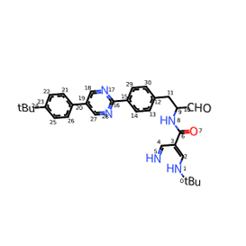 CC(C)(C)N/C=C(\C=N)C(=O)NC(C=O)Cc1ccc(-c2ncc(-c3ccc(C(C)(C)C)cc3)cn2)cc1